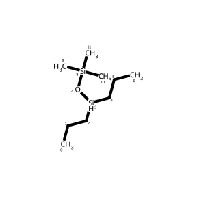 CCC[SiH](CCC)O[Si](C)(C)C